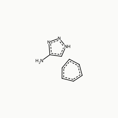 Nc1c[nH]nn1.c1ccccc1